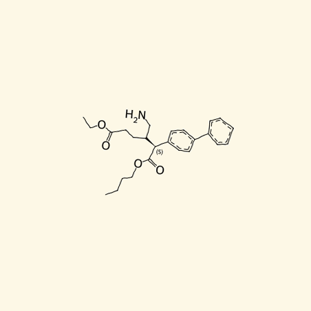 CCCCOC(=O)[C@H](c1ccc(-c2ccccc2)cc1)C(CN)CCC(=O)OCC